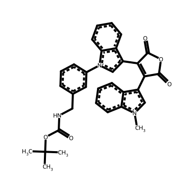 Cn1cc(C2=C(c3cn(-c4cccc(CNC(=O)OC(C)(C)C)c4)c4ccccc34)C(=O)OC2=O)c2ccccc21